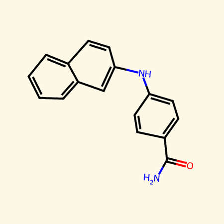 NC(=O)c1ccc(Nc2ccc3ccccc3c2)cc1